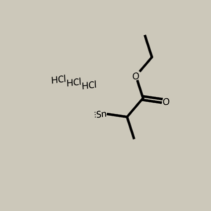 CCOC(=O)[CH](C)[Sn].Cl.Cl.Cl